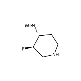 CN[C@@H]1CCNC[C@H]1F